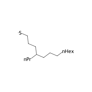 CCCCCCCCCC(CCC)CCC[S]